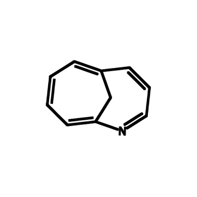 C1=CC=C2CC(=C1)C=CC=N2